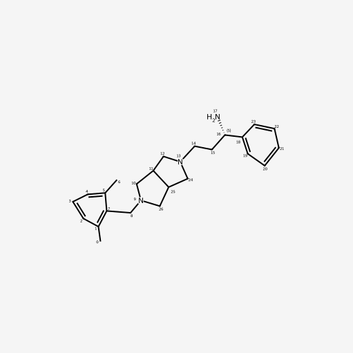 Cc1cccc(C)c1CN1CC2CN(CC[C@H](N)c3ccccc3)CC2C1